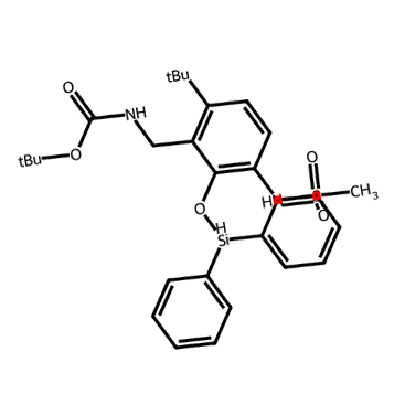 CC(C)(C)OC(=O)NCc1c(C(C)(C)C)ccc(NS(C)(=O)=O)c1O[SiH](c1ccccc1)c1ccccc1